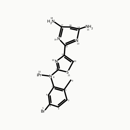 Cc1ccc(Br)cc1N(c1nc(-c2nc(N)cc(N)n2)cs1)C(C)C